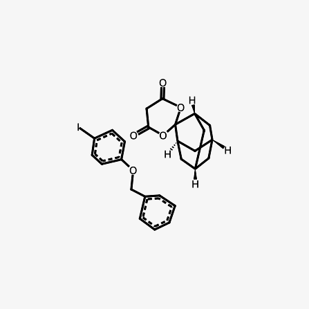 Ic1ccc(OCc2ccccc2)cc1.O=C1CC(=O)OC2(O1)[C@H]1C[C@H]3C[C@H](C1)C[C@H]2C3